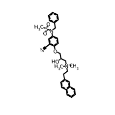 C[N+](C)(CCc1ccc2ccccc2c1)C[C@@H](O)COc1ccc(N(Cc2ccccc2)S(C)(=O)=O)cc1C#N